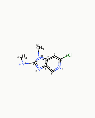 CNc1nc2cnc(Cl)cc2n1C